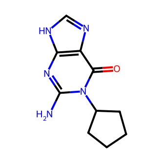 Nc1nc2[nH]cnc2c(=O)n1C1CCCC1